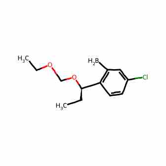 Bc1cc(Cl)ccc1[C@@H](CC)OCOCC